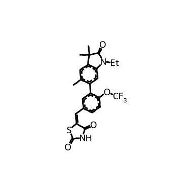 CCN1C(=O)C(C)(C)c2cc(C)c(-c3cc(/C=C4/SC(=O)NC4=O)ccc3OC(F)(F)F)cc21